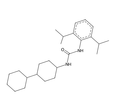 CC(C)c1cccc(C(C)C)c1NC(=O)NC1CCC(C2CCCCC2)CC1